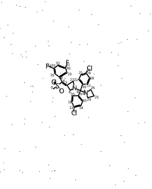 CS(=O)(=O)C(=C1CN(C(c2ccc(Cl)cc2)(c2ccc(Cl)cc2)N2CCC2)C1)c1cc(F)cc(F)c1